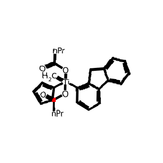 [CH2]=[Ti]([O]C(=O)CCC)([O]C(=O)CCC)([C]1=CC=CC1)[c]1cccc2c1Cc1ccccc1-2